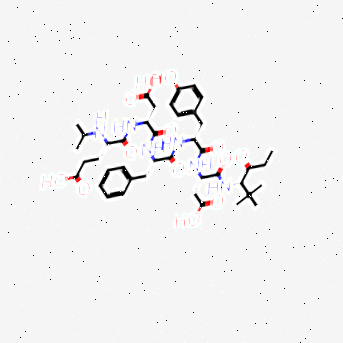 CCC(=O)[C@@H](NC(=O)[C@H](CC(=O)O)NC(=O)[C@H](Cc1ccc(O)cc1)NC(=O)[C@H](Cc1ccccc1)NC(=O)[C@H](CC(=O)O)NC(=O)[C@H](CCC(=O)O)NC(C)C)C(C)(C)C